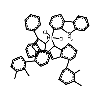 Cc1cccc(-c2cccc3c2C=C(c2ccccc2)[CH]3[Hf]([Cl])([Cl])([c]2cccc3c2[SiH2]c2ccccc2-3)[CH]2C(c3ccccc3)=Cc3c(-c4cccc(C)c4C)cccc32)c1C